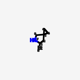 CCC1CC2(CC2)CN1